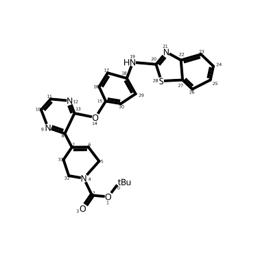 CC(C)(C)OC(=O)N1CC=C(c2nccnc2Oc2ccc(Nc3nc4ccccc4s3)cc2)CC1